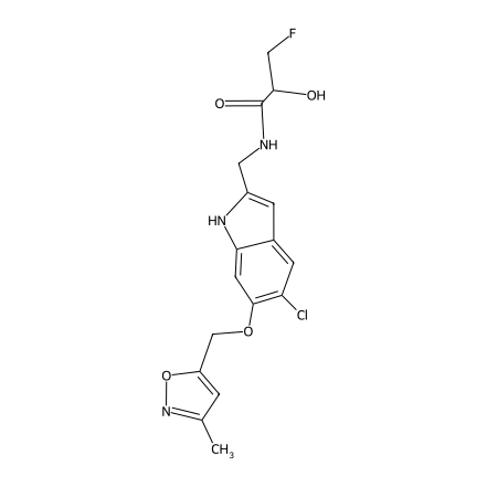 Cc1cc(COc2cc3[nH]c(CNC(=O)C(O)CF)cc3cc2Cl)on1